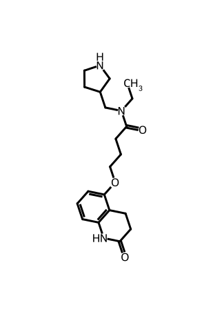 CCN(CC1CCNC1)C(=O)CCCOc1cccc2c1CCC(=O)N2